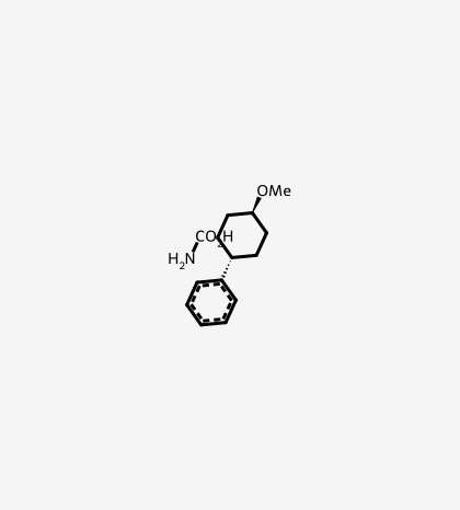 CO[C@H]1CC[C@H](c2ccccc2)CC1.NC(=O)O